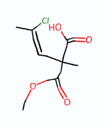 COC(=O)C(C)(C=C(C)Cl)C(=O)O